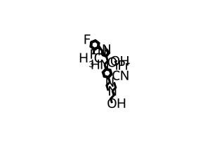 CC(C)O.Cc1c(C(=O)Nc2ccc(N3CCN(CCO)CC3)c(C#N)c2)cnn1-c1ccc(F)cc1F